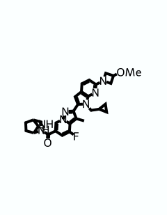 COC1CN(c2ccc3cc(-c4nn5cc(C(=O)N6CC7CCC6[C@@H]7N)cc(F)c5c4C)n(CC4CC4)c3n2)C1